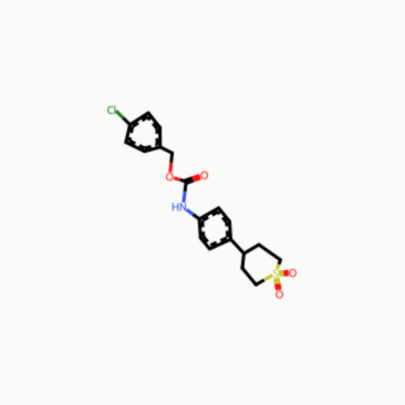 O=C(Nc1ccc(C2CCS(=O)(=O)CC2)cc1)OCc1ccc(Cl)cc1